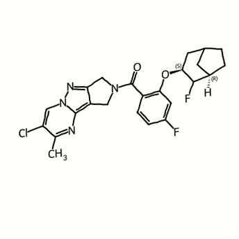 Cc1nc2c3c(nn2cc1Cl)CN(C(=O)c1ccc(F)cc1O[C@H]1CC2CC[C@H](C2)C1F)C3